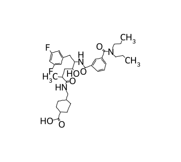 CCCN(CCC)C(=O)c1cccc(C(=O)NC(Cc2cc(F)cc(F)c2)C(O)CC(C)C(=O)NCC2CCC(C(=O)O)CC2)c1